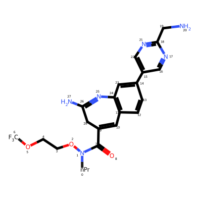 CCCN(OCCOC(F)(F)F)C(=O)C1=Cc2ccc(-c3cnc(CN)nc3)cc2N=C(N)C1